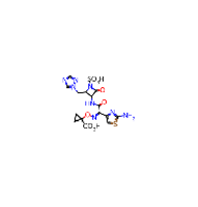 Nc1nc(/C(=N/OC2(C(=O)O)CC2)C(=O)NC2C(=O)N(S(=O)(=O)O)C2Cn2cncn2)cs1